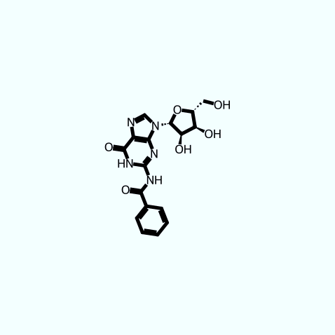 O=C(Nc1nc2c(ncn2[C@@H]2O[C@H](CO)[C@@H](O)[C@H]2O)c(=O)[nH]1)c1ccccc1